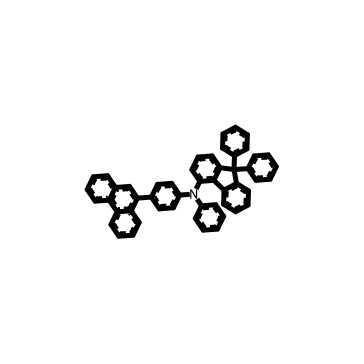 c1ccc(N(c2ccc(-c3cc4ccccc4c4ccccc34)cc2)c2cccc3c2-c2ccccc2C3(c2ccccc2)c2ccccc2)cc1